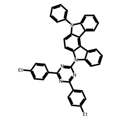 CCc1ccc(-c2nc(-c3ccc(CC)cc3)nc(-n3c4ccccc4c4c5c6ccccc6n(-c6ccccc6)c5ccc43)n2)cc1